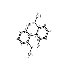 OCc1cccc(Br)c1-c1c(Br)cccc1CO